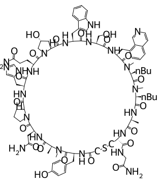 CCCC[C@H]1C(=O)N(C)[C@@H](CCCC)C(=O)N[C@@H](C)C(=O)N[C@H](C(=O)NCC(N)=O)CSCC(=O)N[C@@H](Cc2ccc(O)cc2)C(=O)N(C)[C@@H](C)C(=O)N[C@@H](CC(N)=O)C(=O)N2CCC[C@H]2C(=O)N[C@@H](Cc2cnc[nH]2)C(=O)N[C@@H](CCC(N)=O)C(=O)N2C[C@H](O)C[C@H]2C(=O)N[C@@H](Cc2c[nH]c3ccccc23)C(=O)N[C@@H](CO)C(=O)N[C@@H](Cc2cccc3ccncc23)C(=O)N1C